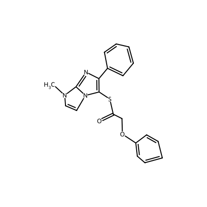 Cn1ccn2c(SC(=O)COc3ccccc3)c(-c3ccccc3)nc12